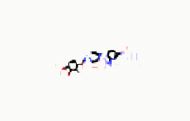 Cc1c([C@@H](O)CN2CCC(C)(N3ONc4cc(C(N)=O)ccc43)CC2)ccc2c1COC2=O